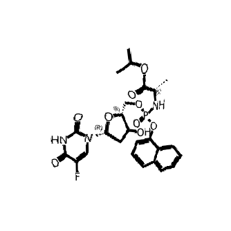 CC(C)OC(=O)[C@H](C)NP(=O)(OC[C@H]1O[C@@H](n2cc(F)c(=O)[nH]c2=O)CC1O)Oc1cccc2ccccc12